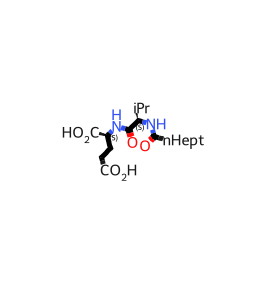 CCCCCCCC(=O)N[C@H](C(=O)N[C@@H](CCC(=O)O)C(=O)O)C(C)C